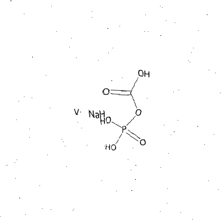 O=C(O)OP(=O)(O)O.[NaH].[V]